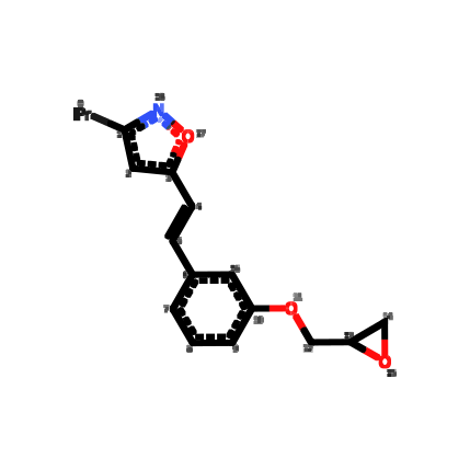 CC(C)c1cc(C=Cc2cccc(OCC3CO3)c2)on1